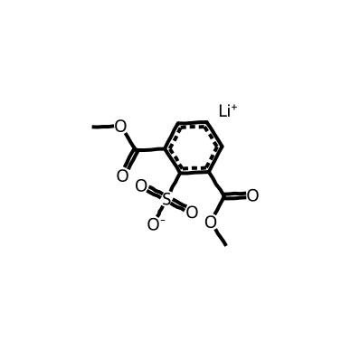 COC(=O)c1cccc(C(=O)OC)c1S(=O)(=O)[O-].[Li+]